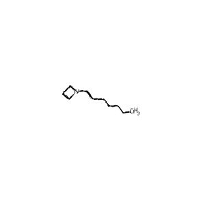 CCCCCCCN1CCC1